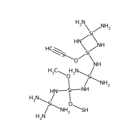 C#[Si]O[Si]1(N[Si](N)(N)N[Si](N[Si](N)(N)N)(OC)OS)N[Si](N)(N)N1